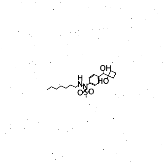 CCCCCCCNN(c1ccc(C(O)C2(O)CCC2)cc1)S(C)(=O)=O